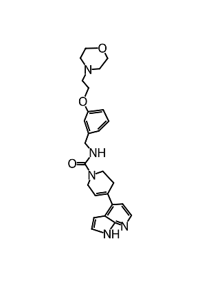 O=C(NCc1cccc(OCCN2CCOCC2)c1)N1CC=C(c2ccnc3[nH]ccc23)CC1